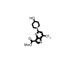 COC(=O)c1csc2c(C(F)(F)F)cc(N3CCC(O)CC3)nc12